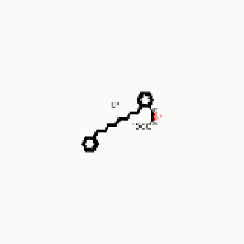 O=C([O-])[C@H]1O[C@@H]1c1ccccc1CCCCCCCCc1ccccc1.[Li+]